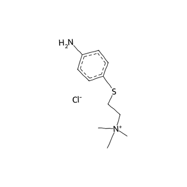 C[N+](C)(C)CCSc1ccc(N)cc1.[Cl-]